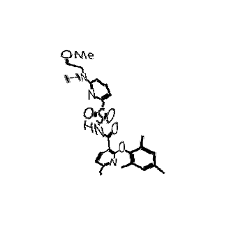 COCCNc1cccc(S(=O)(=O)NC(=O)c2ccc(C)nc2Oc2c(C)cc(C)cc2C)n1